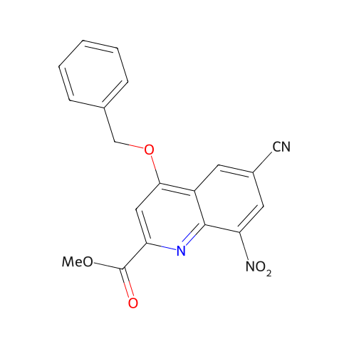 COC(=O)c1cc(OCc2ccccc2)c2cc(C#N)cc([N+](=O)[O-])c2n1